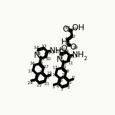 Cc1ccc(C)c2c1C=C(c1cc(N)ccn1)CC2.Cc1ccc(C)c2c1C=C(c1cc(N)ccn1)CC2.O=C(O)/C=C/C(=O)O